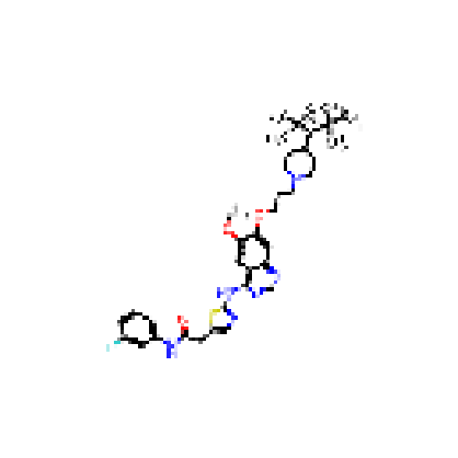 COc1cc2c(Nc3ncc(CC(=O)Nc4cccc(F)c4)s3)ncnc2cc1OCCCN1CCC([C](C(C)(C)C)C(C)(C)C)CC1